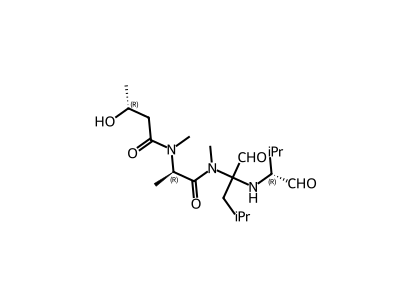 CC(C)CC(C=O)(N[C@@H](C=O)C(C)C)N(C)C(=O)[C@@H](C)N(C)C(=O)C[C@@H](C)O